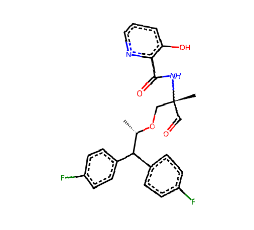 C[C@H](OC[C@@](C)(C=O)NC(=O)c1ncccc1O)C(c1ccc(F)cc1)c1ccc(F)cc1